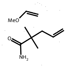 C=CCC(C)(C)C(N)=O.C=COC